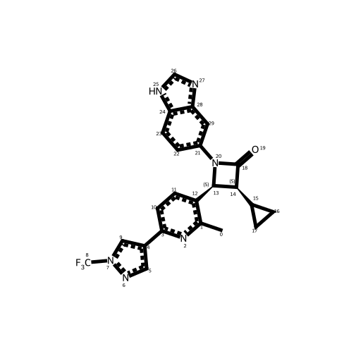 Cc1nc(-c2cnn(C(F)(F)F)c2)ccc1[C@@H]1[C@H](C2CC2)C(=O)N1c1ccc2[nH]cnc2c1